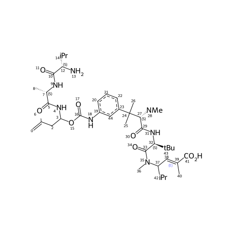 C=CCC(NC(=O)[C@H](C)NC(=O)[C@@H](N)C(C)C)OC(=O)Nc1cccc(C(C)(C)[C@H](NC)C(=O)N[C@H](C(=O)N(C)C(/C=C(\C)C(=O)O)C(C)C)C(C)(C)C)c1